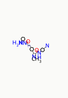 CN1CC(C(=O)Nc2ccc(C#N)cc2)C(c2ccc(/C=C/C(=O)Nc3ccccc3N)cc2)C1